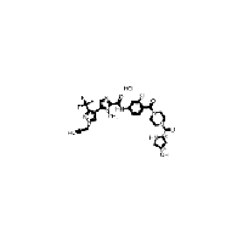 C#CCn1cc(-c2cnc(C(=O)Nc3ccc(C(=O)N4CCN(C(=O)[C@@H]5C[C@@H](O)CN5)CC4)c(Cl)c3)n2C)c(C(F)(F)F)n1.Cl